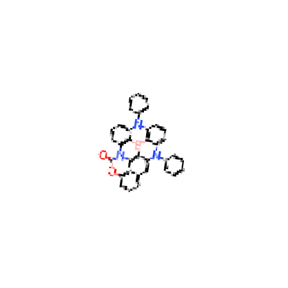 O=C1Oc2cccc3cc4c5c(c23)N1c1cccc2c1B5c1c(cccc1N4c1ccccc1)N2c1ccccc1